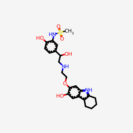 CS(=O)(=O)Nc1cc(C(O)CNCCOc2cc3[nH]c4c(c3cc2O)CCCC4)ccc1O